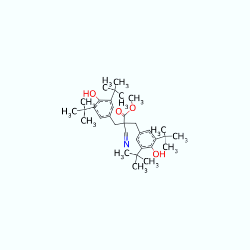 COC(=O)C(C#N)(Cc1cc(C(C)(C)C)c(O)c(C(C)(C)C)c1)Cc1cc(C(C)(C)C)c(O)c(C(C)(C)C)c1